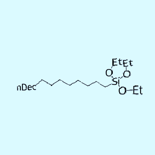 CCCCCCCCCCCCCCCCCC[Si](OCC)(OCC)OCC